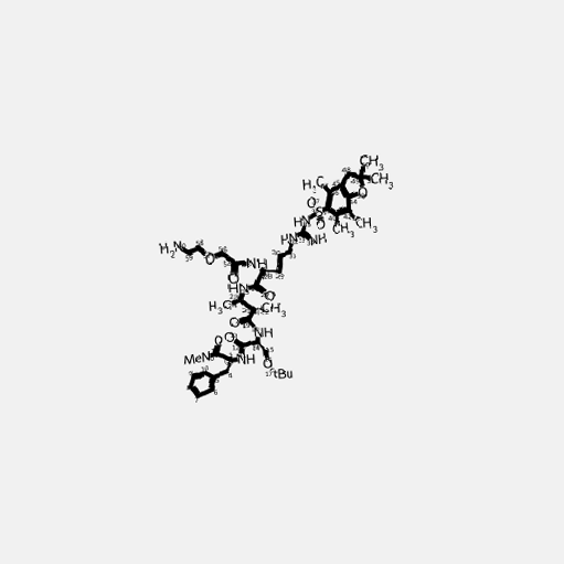 CNC(=O)[C@H](Cc1ccccc1)NC(=O)[C@H](COC(C)(C)C)NC(=O)[C@@H](C)C(C)NC(=O)[C@H](CCCNC(=N)NS(=O)(=O)c1c(C)c(C)c2c(c1C)CC(C)(C)O2)NC(=O)COCCN